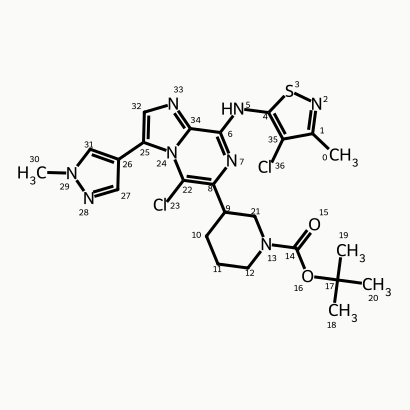 Cc1nsc(Nc2nc(C3CCCN(C(=O)OC(C)(C)C)C3)c(Cl)n3c(-c4cnn(C)c4)cnc23)c1Cl